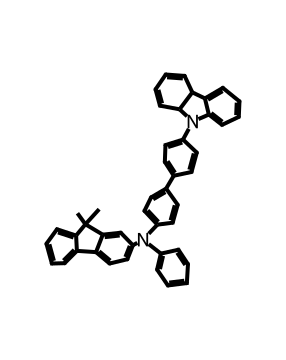 CC1(C)c2ccccc2-c2ccc(N(c3ccccc3)c3ccc(-c4ccc(N5c6ccccc6C6C=CC=CC65)cc4)cc3)cc21